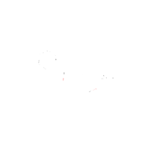 CCCCCCCCCCC(OC(=O)CC)OC(=O)c1ccccc1